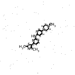 Cc1nc(C)c(-c2ccnc(Nc3ccc(N4CCN(C)CC4)cn3)n2)s1